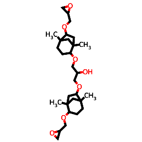 CC12CCC(OCC(O)COC3CC4(C)CC3(C)CCC4OCC3CO3)C(C)(CC1OCC1CO1)C2